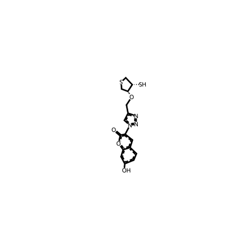 O=c1oc2cc(O)ccc2cc1-n1cc(CO[C@@H]2CSC[C@@H]2S)nn1